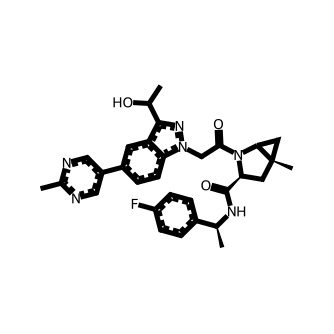 Cc1ncc(-c2ccc3c(c2)c(C(C)O)nn3CC(=O)N2C3C[C@]3(C)C[C@H]2C(=O)N[C@@H](C)c2ccc(F)cc2)cn1